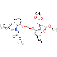 COC(=O)CN(CC(=O)OC)c1ccccc1OCCOc1cc(C)ccc1N(CC(=O)OC)CC(=O)OC